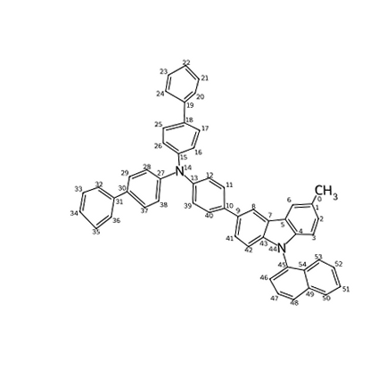 Cc1ccc2c(c1)c1cc(-c3ccc(N(c4ccc(-c5ccccc5)cc4)c4ccc(-c5ccccc5)cc4)cc3)ccc1n2-c1cccc2ccccc12